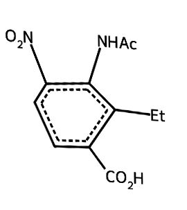 CCc1c(C(=O)O)ccc([N+](=O)[O-])c1NC(C)=O